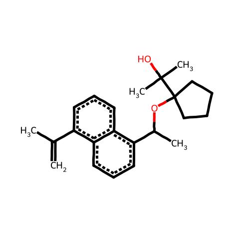 C=C(C)c1cccc2c(C(C)OC3(C(C)(C)O)CCCC3)cccc12